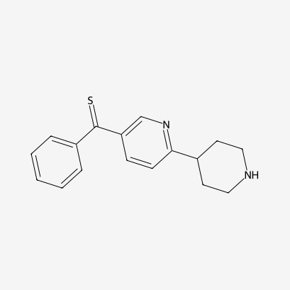 S=C(c1ccccc1)c1ccc(C2CCNCC2)nc1